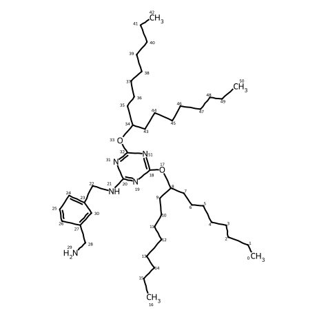 CCCCCCCCC(CCCCCCCC)Oc1nc(NCc2cccc(CN)c2)nc(OC(CCCCCCCC)CCCCCCCC)n1